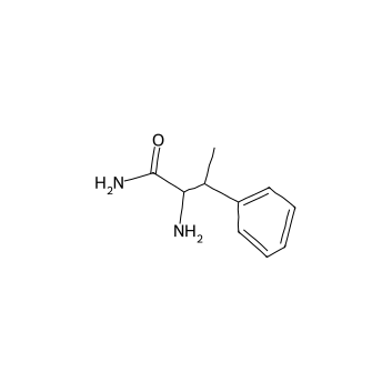 CC(c1ccccc1)C(N)C(N)=O